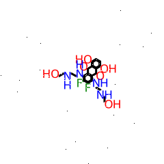 O=C1c2c(O)ccc(O)c2C(=O)c2c(NCCNCCO)c(F)c(F)c(NCCNCCO)c21